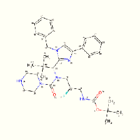 CC(C)(C)OC(=O)NC[C@@H](F)CN(C(=O)N1CCNCC1)[C@@H](c1nc(-c2ccccc2)cn1Cc1ccccc1)C(C)(C)C